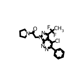 CC(F)(F)c1nn(CC(=O)N2CCCC2)c2nnc(-c3ccccc3)c(Cl)c12